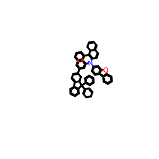 C1=CCC2C(=C1)C=CC(N(c1cccc(C3=CC=C4c5ccccc5C(C5=CCCC=C5)(c5ccccc5)C4C3)c1)c1ccc3c(c1)oc1ccccc13)=C2c1ccccc1